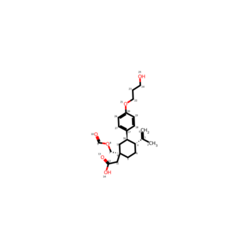 C=C(C)[C@@H]1CC[C@@](COC=O)(CC(=O)O)C[C@H]1c1ccc(OCCCO)cc1